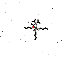 CCCC[O][Zr]([O]CCCC)([O]CCCC)[O][Si](C(C)C)(C(C)C)C(C)C